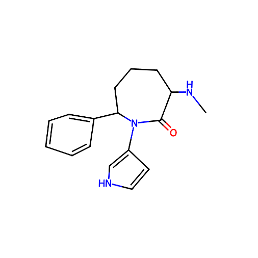 CNC1CCCC(c2ccccc2)N(c2cc[nH]c2)C1=O